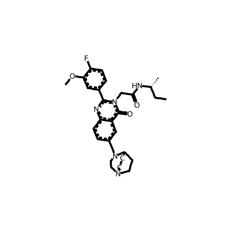 CC[C@@H](C)NC(=O)Cn1c(-c2ccc(F)c(OC)c2)nc2ccc(N3CCN4CCC3CC4)cc2c1=O